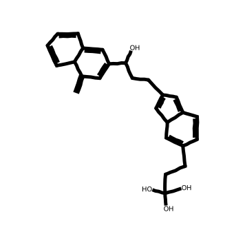 C=C1C=C(C(O)CCC2=CC3C=C(CCC(O)(O)O)C=CC3=C2)C=C2C=CC=CC12